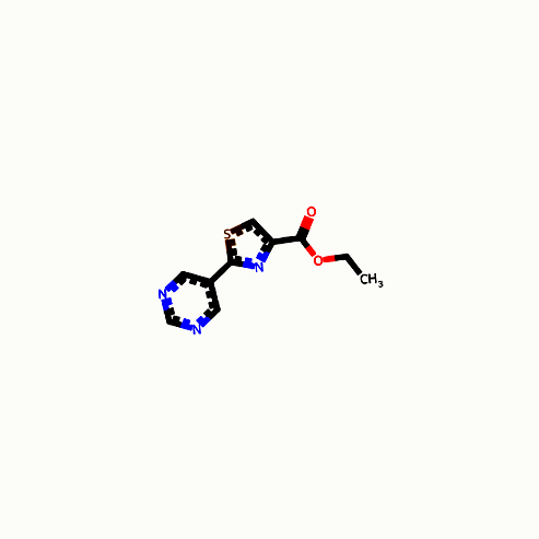 CCOC(=O)c1csc(-c2cncnc2)n1